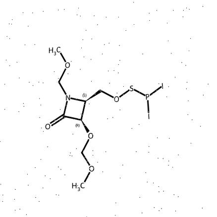 COCO[C@H]1C(=O)N(COC)[C@H]1COSP(I)I